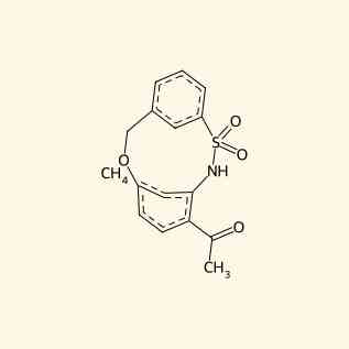 C.CC(=O)c1ccc2cc1NS(=O)(=O)c1cccc(c1)CO2